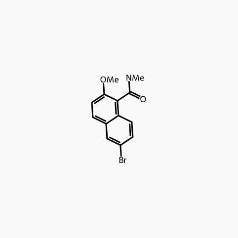 CNC(=O)c1c(OC)ccc2cc(Br)ccc12